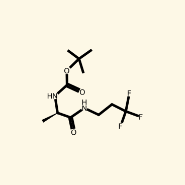 C[C@@H](NC(=O)OC(C)(C)C)C(=O)NCCC(F)(F)F